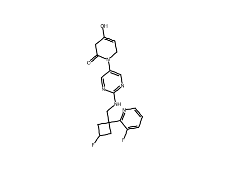 O=C1CC(O)=CCN1c1cnc(NCC2(c3ncccc3F)CC(F)C2)nc1